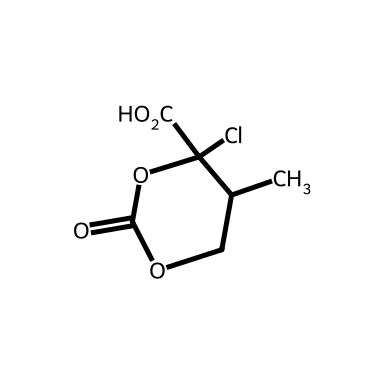 CC1COC(=O)OC1(Cl)C(=O)O